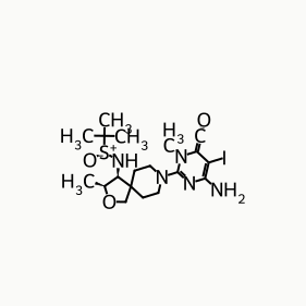 C[C@@H]1OCC2(CCN(C3=NC(N)=C(I)C(=C=O)N3C)CC2)[C@@H]1N[S@+]([O-])C(C)(C)C